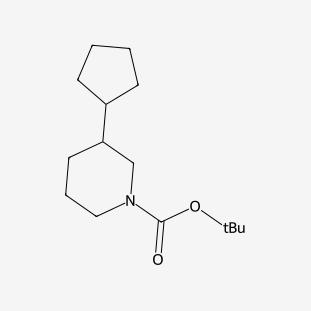 CC(C)(C)OC(=O)N1CCCC(C2CCCC2)C1